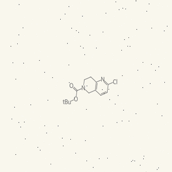 CC(C)(C)OC(=O)N1CCc2nc(Cl)ccc2C1